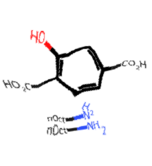 CCCCCCCCN.CCCCCCCCN.O=C(O)c1ccc(C(=O)O)c(O)c1